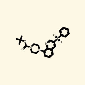 CC(C)(C)OC(=O)N1CCN(c2cccc3cc(S(=O)(=O)c4ccccc4)cnc23)CC1